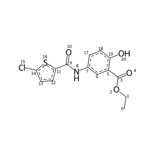 CCOC(=O)c1cc(NC(=O)c2ccc(Cl)s2)ccc1O